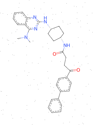 CN(C)c1nc(N[C@H]2CC[C@@H](NC(=O)CCC(=O)c3ccc(-c4ccccc4)cc3)CC2)nc2ccccc12